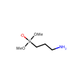 CO[Si]([O])(CCCN)OC